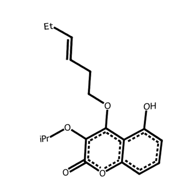 CCC=CCCOc1c(OC(C)C)c(=O)oc2cccc(O)c12